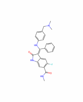 CNC(=O)c1cc2c(cc1F)/C(=C(/Nc1ccc(CN(C)C)cc1)c1ccccc1)C(=O)N2